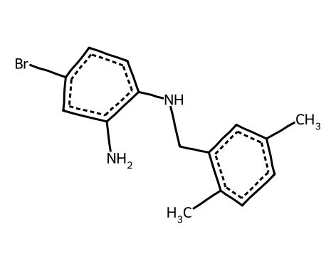 Cc1ccc(C)c(CNc2ccc(Br)cc2N)c1